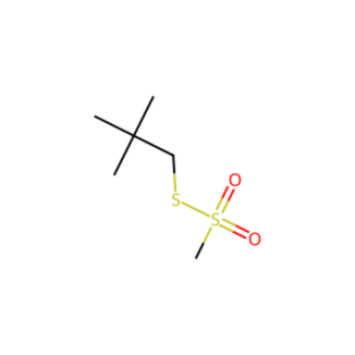 CC(C)(C)CSS(C)(=O)=O